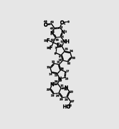 COc1nc(NC2CCc3c(-c4cccc5c4ccn5-c4nccc5cc(CO)cnc45)cccc32)c(C(F)(F)F)nc1C=O